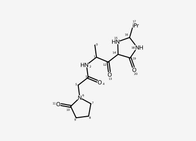 CC(NC(=O)CN1CCCC1=O)C(=O)C1NC(C(C)C)NC1=O